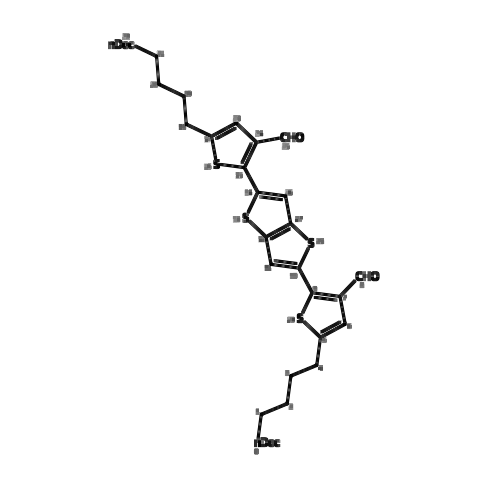 CCCCCCCCCCCCCCc1cc(C=O)c(-c2cc3sc(-c4sc(CCCCCCCCCCCCCC)cc4C=O)cc3s2)s1